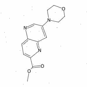 COC(=O)c1ccc2ncc(N3CCOCC3)cc2n1